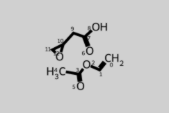 C=COC(C)=O.O=C(O)CC1CO1